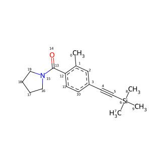 Cc1cc(C#C[Si](C)(C)C)ccc1C(=O)N1CCCC1